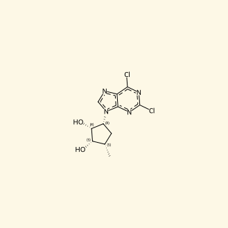 C[C@H]1C[C@@H](n2cnc3c(Cl)nc(Cl)nc32)[C@@H](O)[C@H]1O